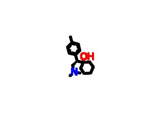 Cc1ccc([C@H](CN(C)C)C2(O)CCCCC2)cc1